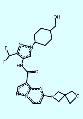 O=C(Nc1cn(C2CCC(CO)CC2)nc1C(F)F)c1cnn2ccc(N3CC4(COC4)C3)nc12